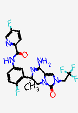 C[C@@]1(c2cc(NC(=O)c3ccc(F)cn3)ccc2F)Cn2c(cn(CC(F)(F)F)c2=O)C(N)=N1